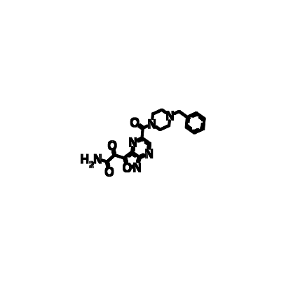 NC(=O)C(=O)c1onc2ncc(C(=O)N3CCN(Cc4ccccc4)CC3)nc12